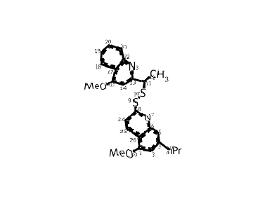 COc1cc(C(C)C)cc2nc(SSC(C)c3cc(OC)c4ccccc4n3)ccc12